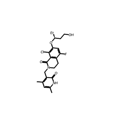 CC[C@@H](CCO)Oc1cc(F)c2c(c1Cl)C(=O)N(Cc1c(C)cc(C)[nH]c1=O)CC2